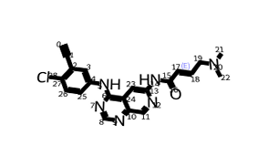 C#Cc1cc(Nc2ncnc3cnc(NC(=O)/C=C/CN(C)C)cc23)ccc1Cl